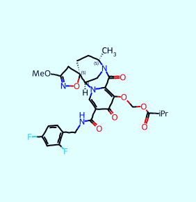 COC1=NO[C@@]2(CC[C@H](C)N3C[C@H]2n2cc(C(=O)NCc4ccc(F)cc4F)c(=O)c(OCOC(=O)C(C)C)c2C3=O)C1